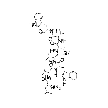 CC(C)C[C@@H](N)C(=O)N[C@H](C(=O)N[C@H](Cc1c[nH]c2ccccc12)C(=O)N[C@H](CN[C@H](C(=O)N[C@@H](C(=O)N[C@H](C=O)Cc1c[nH]c2ccccc12)C(C)C)C(C)S)C(C)C)C(C)C